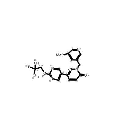 CSc1cncc(Cn2nc(-c3cnc(OCC(C)(C)F)nc3)ccc2=O)c1